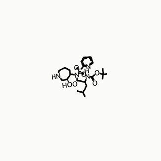 CC(C)CC(NC(=O)OC(C)(C)C)C(=O)N(C1CCCNC[C@@H]1O)S(=O)(=O)c1ccccn1